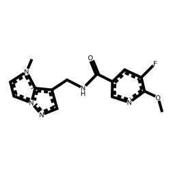 COc1ncc(C(=O)NCc2cnn3ccn(C)c23)cc1F